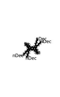 CCCCCCCCCCCCCCCCC1(CCCCCCCCCCCCCCCC)c2cc3c(cc2-c2s[c]([Sn]([CH3])([CH3])[CH3])cc21)C(CCCCCCCCCCCCCCCC)(CCCCCCCCCCCCCCCC)c1c[c]([Sn]([CH3])([CH3])[CH3])sc1-3